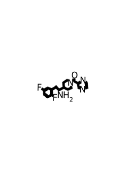 NC(Cc1cc(F)ccc1F)C1CCN(C(=O)c2cnccn2)CC1